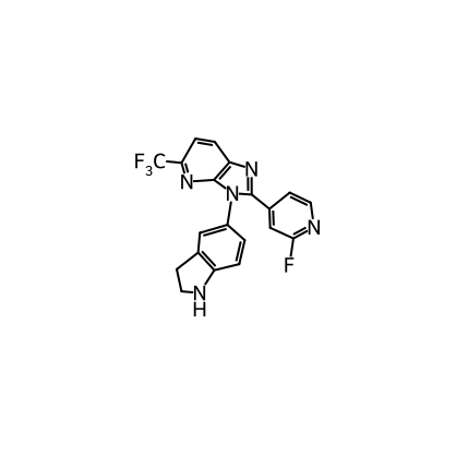 Fc1cc(-c2nc3ccc(C(F)(F)F)nc3n2-c2ccc3c(c2)CCN3)ccn1